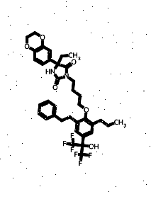 CCCc1cc(C(O)(C(F)(F)F)C(F)(F)F)cc(CCc2ccccc2)c1OCCCCN1C(=O)NC(CC)(c2ccc3c(c2)OCCO3)C1=O